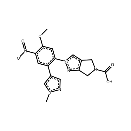 COc1cc(-n2cc3c(n2)CN(C(=O)O)C3)c(-c2cnn(C)c2)cc1[N+](=O)[O-]